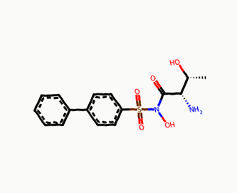 C[C@@H](O)[C@H](N)C(=O)N(O)S(=O)(=O)c1ccc(-c2ccccc2)cc1